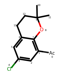 CC(=O)c1cc(Cl)cc2c1OC(C)(C)CC2